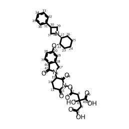 O=C(O)CC(O)(CC(=O)ON1C(=O)CCC(N2Cc3cc(O[C@H]4CCCC[C@@H]4N4CC(c5ccccc5)C4)ccc3C2=O)C1=O)C(=O)O